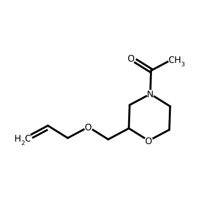 C=CCOCC1CN(C(C)=O)CCO1